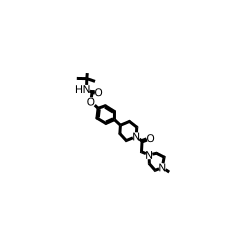 CN1CCN(CC(=O)N2CCC(c3ccc(OC(=O)NC(C)(C)C)cc3)CC2)CC1